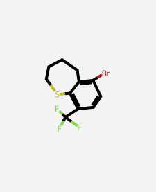 FC(F)(F)c1ccc(Br)c2c1SCCCC2